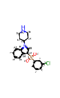 O=S(=O)(c1cccc(Cl)c1)c1cn(C2CCNCC2)c2ccccc12